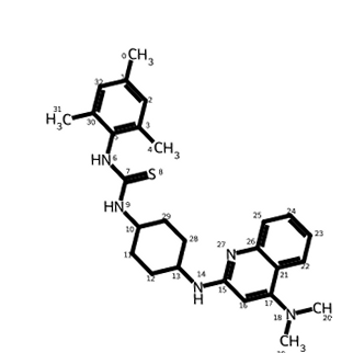 Cc1cc(C)c(NC(=S)NC2CCC(Nc3cc(N(C)C)c4ccccc4n3)CC2)c(C)c1